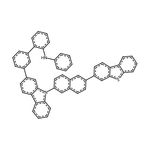 c1ccc(Nc2ccccc2-c2cccc(-c3ccc4c5ccccc5n(-c5ccc6cc(-c7ccc8c(c7)sc7ccccc78)ccc6c5)c4c3)c2)cc1